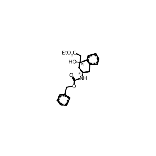 CCOC(=O)C[C@@]1(O)C[C@H](NC(=O)OCc2ccccc2)Cc2ccccc21